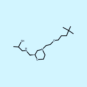 CC(S)CNC[C@H]1CN(CCOCCCC(C)(C)C)CCO1